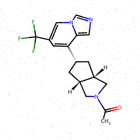 CC(=O)N1C[C@H]2C[C@@H](c3cc(C(F)(F)F)cn4cncc34)C[C@H]2C1